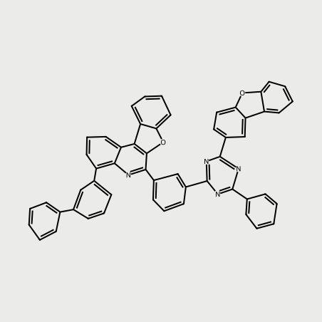 c1ccc(-c2cccc(-c3cccc4c3nc(-c3cccc(-c5nc(-c6ccccc6)nc(-c6ccc7oc8ccccc8c7c6)n5)c3)c3oc5ccccc5c34)c2)cc1